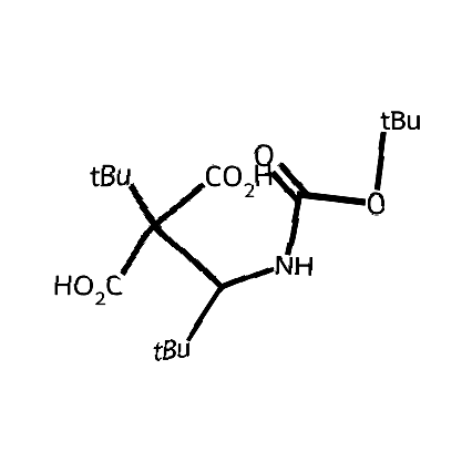 CC(C)(C)OC(=O)NC(C(C)(C)C)C(C(=O)O)(C(=O)O)C(C)(C)C